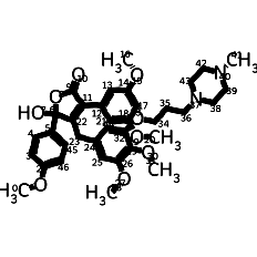 COc1ccc(C2(O)OC(=O)C(c3cc(OC)cc(OC)c3)=C2Cc2cc(OC)c(OC)c(OCCCN3CCN(C)CC3)c2)cc1